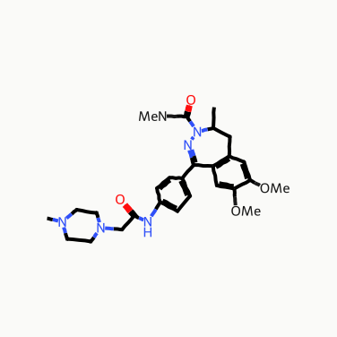 CNC(=O)N1N=C(c2ccc(NC(=O)CN3CCN(C)CC3)cc2)c2cc(OC)c(OC)cc2CC1C